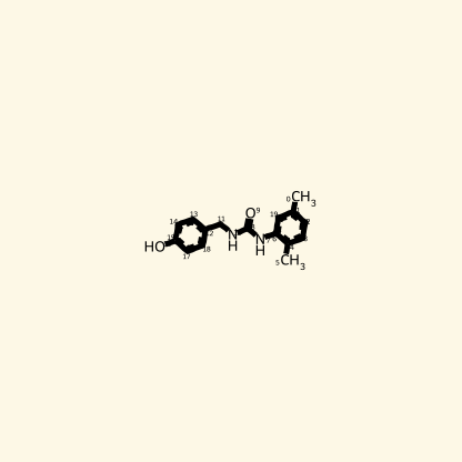 Cc1ccc(C)c(NC(=O)NCc2ccc(O)cc2)c1